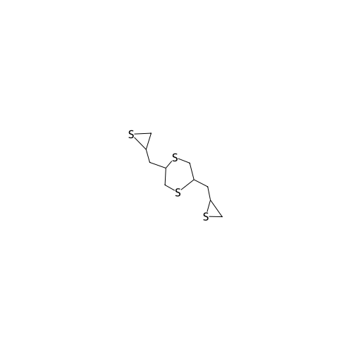 C1SC1CC1CSC(CC2CS2)CS1